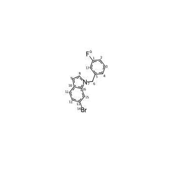 Fc1cccc(Cn2ccc3ccc(Br)cc32)c1